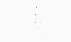 CCCCCCC(CCCCCC)COC(=O)CCCCC(CCCCCC)OC(=O)OCCN(CCCN(CC)CC)CCOC(=O)OC(CCCCCC)CCCCC(=O)OCC(CCCCCC)CCCCCC